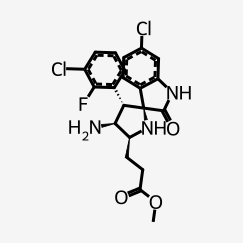 COC(=O)CC[C@@H]1N[C@@]2(C(=O)Nc3cc(Cl)ccc32)[C@@H](c2cccc(Cl)c2F)[C@@H]1N